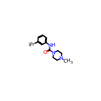 CC(C)c1cccc(NC(=O)N2CCN(C)CC2)c1